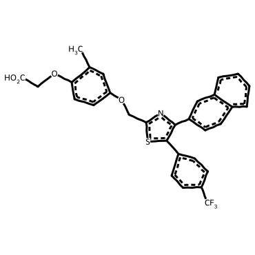 Cc1cc(OCc2nc(-c3ccc4ccccc4c3)c(-c3ccc(C(F)(F)F)cc3)s2)ccc1OCC(=O)O